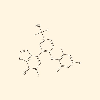 Cc1cc(F)cc(C)c1Oc1ccc(C(C)(C)O)cc1-c1cn(C)c(=O)c2sccc12